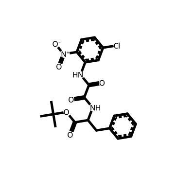 CC(C)(C)OC(=O)C(Cc1ccccc1)NC(=O)C(=O)Nc1cc(Cl)ccc1[N+](=O)[O-]